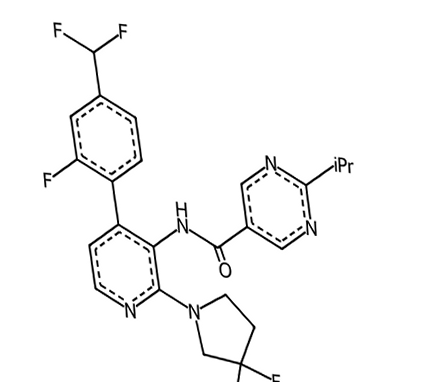 CC(C)c1ncc(C(=O)Nc2c(-c3ccc(C(F)F)cc3F)ccnc2N2CCC(F)(F)C2)cn1